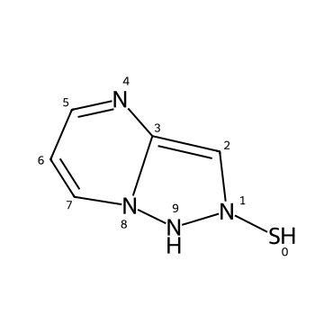 SN1C=C2N=CC=CN2N1